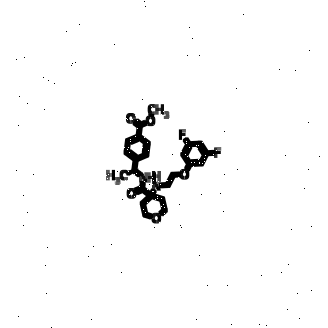 COC(=O)c1ccc([C@H](C)NC(=O)C2(NCCOc3cc(F)cc(F)c3)CCOCC2)cc1